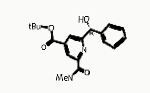 CNC(=O)c1cc(C(=O)OC(C)(C)C)cc([C@H](O)c2ccccc2)n1